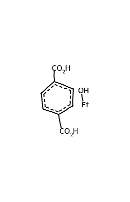 CCO.O=C(O)c1ccc(C(=O)O)cc1